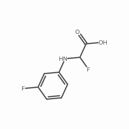 O=C(O)C(F)Nc1cccc(F)c1